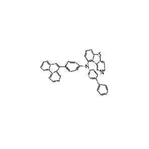 c1ccc(-c2ccc(N(c3ccc(-c4cc5ccccc5c5ccccc45)cc3)c3cccc4sc5ccncc5c34)cc2)cc1